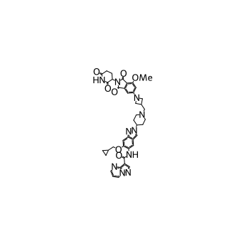 COc1cc(N2CC(CN3CCC(n4cc5cc(NC(=O)c6cnn7cccnc67)c(OCC6CC6)cc5n4)CC3)C2)cc2c1C(=O)N(C1CCC(=O)NC1=O)C2=O